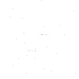 CC(=O)[O-].P[PH][Pd+]